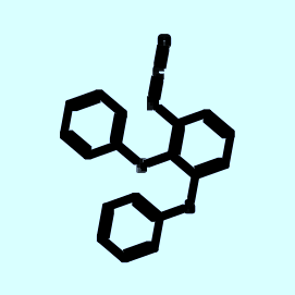 O=C=Nc1cccc(Sc2ccccc2)c1Sc1ccccc1